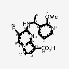 COc1ncccc1C(C)Nc1nc2c(C(=O)O)cnn2cc1F